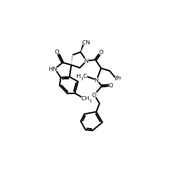 Cc1ccc2c(c1)[C@@]1(C[C@@H](C#N)N(C(=O)C(CC(C)C)N(C)C(=O)OCc3ccccc3)C1)C(=O)N2